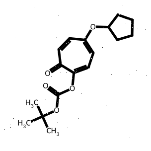 CC(C)(C)OC(=O)Oc1ccc(OC2CCCC2)ccc1=O